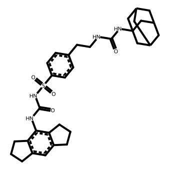 O=C(NCCc1ccc(S(=O)(=O)NC(=O)Nc2c3c(cc4c2CCC4)CCC3)cc1)NC12CC3CC(CC(C3)C1)C2